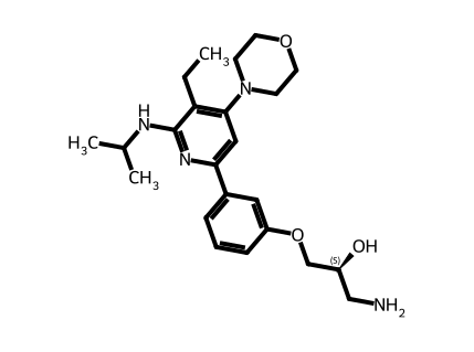 CCc1c(N2CCOCC2)cc(-c2cccc(OC[C@@H](O)CN)c2)nc1NC(C)C